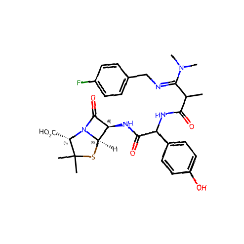 CC(C(=O)NC(C(=O)N[C@@H]1C(=O)N2[C@@H]1SC(C)(C)[C@@H]2C(=O)O)c1ccc(O)cc1)C(=NCc1ccc(F)cc1)N(C)C